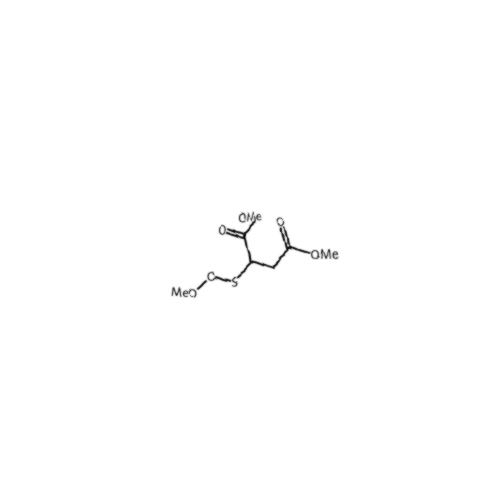 COOSC(CC(=O)OC)C(=O)OC